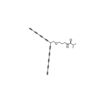 C#CC#CC#CC#CC#CC(C#CC#CC#CC#C)COCCCNC(=O)C(C)C